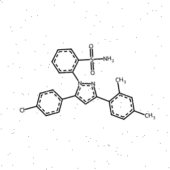 Cc1ccc(-c2cc(-c3ccc(Cl)cc3)n(-c3ccccc3S(N)(=O)=O)n2)c(C)c1